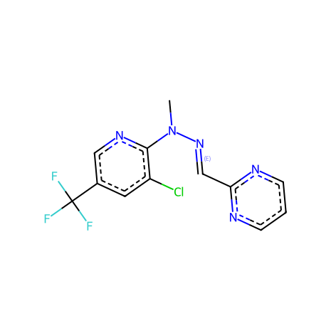 CN(/N=C/c1ncccn1)c1ncc(C(F)(F)F)cc1Cl